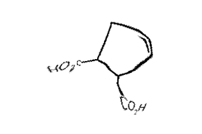 O=C(O)C1C=CCC1C(=O)O